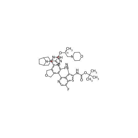 C[C@@H](CN1CCOCC1)Oc1nc(N2C3CCC2CN(C(=O)O)C3)c2c3c(c(-c4ncc(F)c5sc(NC(=O)OC(C)(C)C)c(C#N)c45)c(F)c2n1)COC3